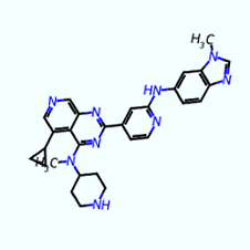 CN(c1nc(-c2ccnc(Nc3ccc4ncn(C)c4c3)c2)nc2cncc(C3CC3)c12)C1CCNCC1